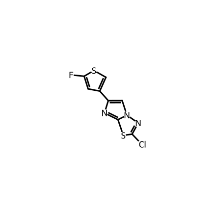 Fc1cc(-c2cn3nc(Cl)sc3n2)cs1